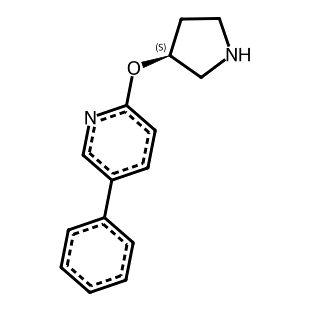 c1ccc(-c2ccc(O[C@H]3CCNC3)nc2)cc1